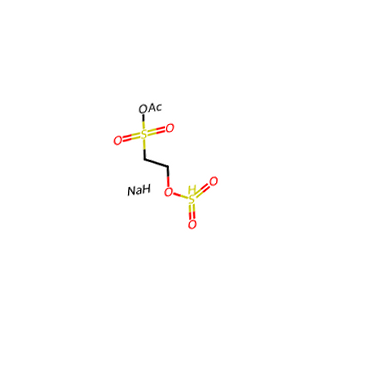 CC(=O)OS(=O)(=O)CCO[SH](=O)=O.[NaH]